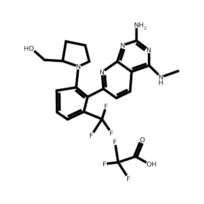 CNc1nc(N)nc2nc(-c3c(N4CCCC4CO)cccc3C(F)(F)F)ccc12.O=C(O)C(F)(F)F